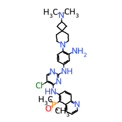 CN(C)C1CC2(CCN(c3ccc(Nc4ncc(Cl)c(Nc5ccc6ncccc6c5P(C)(C)=O)n4)cc3N)CC2)C1